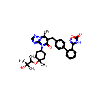 CCCc1c(Cc2ccc(-c3ccccc3-c3noc(=O)[nH]3)cc2)c(=O)n(C2CCC(C)(OC(C)C(C)(C)O)CC2)c2ncnn12